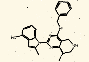 Cc1cc2c(C#N)cccc2n1-c1nc(NCc2ccccc2)c2c(n1)C(C)CNC2